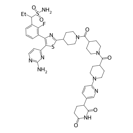 CCC(c1cccc(-c2nc(C3CCN(C(=O)C4CCN(C(=O)C5CCN(c6ccc(C7CCC(=O)NC7=O)cn6)CC5)CC4)CC3)sc2-c2ccnc(N)n2)c1F)S(N)(=O)=O